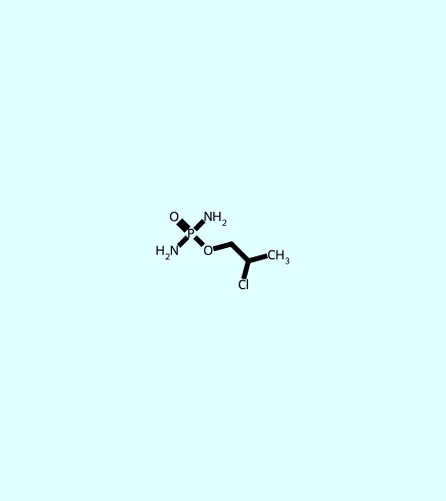 CC(Cl)COP(N)(N)=O